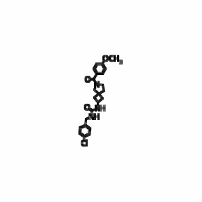 COc1ccc(C(=O)N2CCC3(CC(NC(=O)NCc4ccc(Cl)cc4)C3)C2)cc1